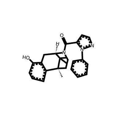 CC1(C)[C@H]2Cc3c(O)cccc3[C@]1(C)CCN2C(=O)c1ccnn1-c1ccccc1